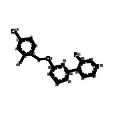 Fc1cc(Cl)ccc1COc1cccc(-c2ccncc2F)n1